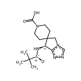 CC(C)(C)[S@+]([O-])N[C@@H]1c2nncn2CC12CCN(C(=O)O)CC2